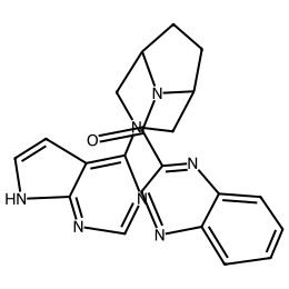 O=C(c1cnc2ccccc2n1)N1C2CCC1CN(c1ncnc3[nH]ccc13)C2